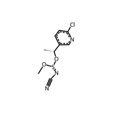 COS(=NC#N)O[C@H](C)c1ccc(Cl)nc1